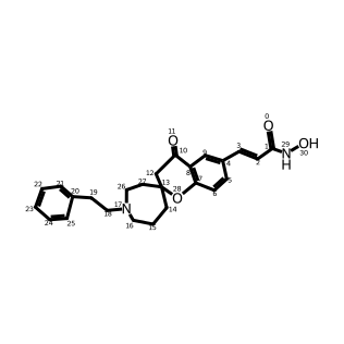 O=C(/C=C/c1ccc2c(c1)C(=O)CC1(CCCN(CCc3ccccc3)CC1)O2)NO